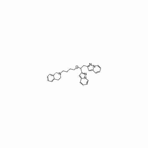 c1ccc2c(c1)CCN(CCCCOC(Cc1cc3ccccn3n1)c1cc3ccccn3n1)C2